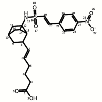 O=C(O)CCCC=CC1CC2CCC1C(NS(=O)(=O)C=Cc1ccc([N+](=O)[O-])cc1)C2